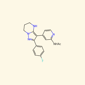 CC(=O)Nc1cc(-c2c(-c3ccc(F)cc3)nn3c2NCCC3)ccn1